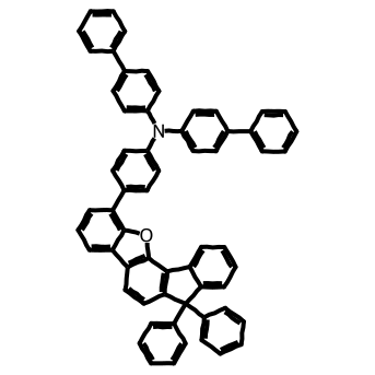 c1ccc(-c2ccc(N(c3ccc(-c4ccccc4)cc3)c3ccc(-c4cccc5c4oc4c6c(ccc45)C(c4ccccc4)(c4ccccc4)c4ccccc4-6)cc3)cc2)cc1